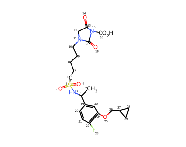 CC(NS(=O)(=O)CCCCCN1CC(=O)N(C(=O)O)C1=O)c1ccc(F)c(OCC2CC2)c1